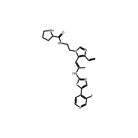 C=Cc1ncn(CCNC(=O)C2CCCN2)c1/C=C(\C)Nc1ncc(-c2ccncc2F)s1